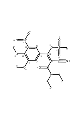 CCN(CC)C(=O)C(C#N)=C(OS(C)(=O)=O)c1cc(OC)c(OC)c([N+](=O)[O-])c1